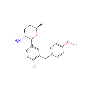 CCOc1ccc(Cc2cc([C@@H]3O[C@H](C)CC[C@H]3N)ccc2Cl)cc1